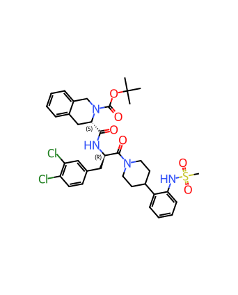 CC(C)(C)OC(=O)N1Cc2ccccc2C[C@H]1C(=O)N[C@H](Cc1ccc(Cl)c(Cl)c1)C(=O)N1CCC(c2ccccc2NS(C)(=O)=O)CC1